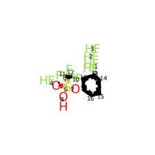 F.F.F.F.F.O=S(=O)(O)C(F)(F)F.c1ccccc1